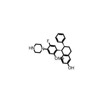 COc1cc(N2CCNCC2)c(F)cc1[C@@H]1c2ccc(O)cc2CC[C@@H]1c1ccccc1